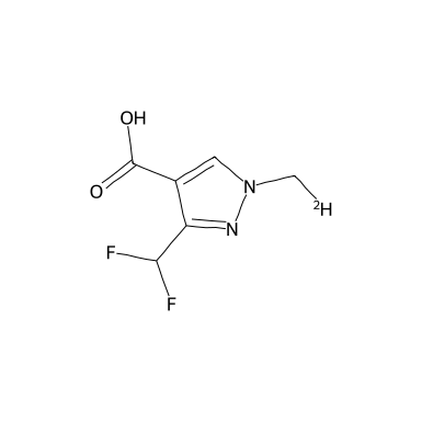 [2H]Cn1cc(C(=O)O)c(C(F)F)n1